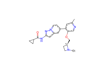 CCN1CC[C@H]1COc1cnc(C)cc1-c1ccn2nc(NC(=O)C3CC3)cc2c1